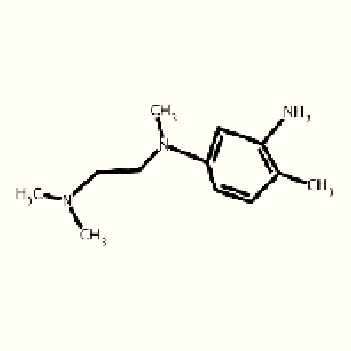 Cc1ccc(N(C)CCN(C)C)cc1N